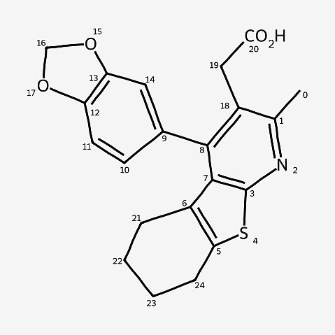 Cc1nc2sc3c(c2c(-c2ccc4c(c2)OCO4)c1CC(=O)O)CCCC3